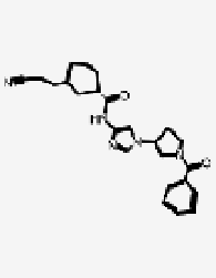 N#CCCC1CCC[C@H](C(=O)Nc2cn(C3CCN(C(=O)c4ccccc4)C3)cn2)C1